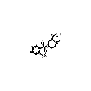 CN1CCN(S(=O)(=O)c2ccccc2C(C)(C)C)CC1CO